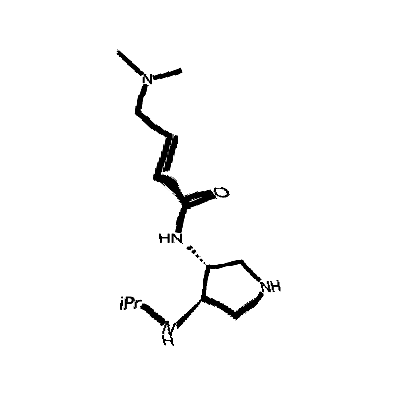 CC(C)N[C@@H]1CNC[C@H]1NC(=O)/C=C/CN(C)C